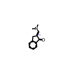 CN(C)/C=C1\Cc2ccccc2C1=O